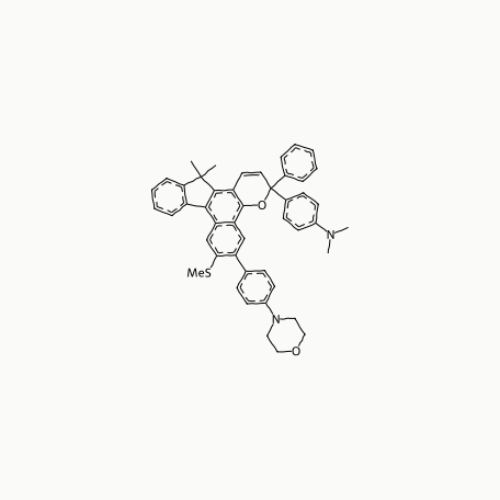 CSc1cc2c3c(c4c(c2cc1-c1ccc(N2CCOCC2)cc1)OC(c1ccccc1)(c1ccc(N(C)C)cc1)C=C4)C(C)(C)c1ccccc1-3